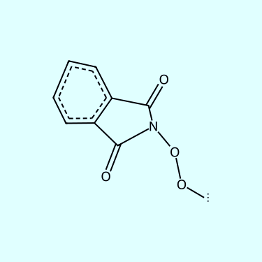 [C]OON1C(=O)c2ccccc2C1=O